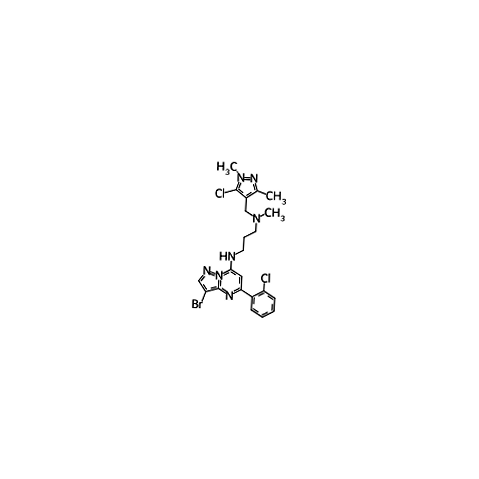 Cc1nn(C)c(Cl)c1CN(C)CCCNc1cc(-c2ccccc2Cl)nc2c(Br)cnn12